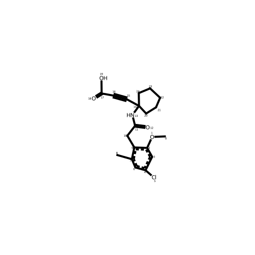 COc1cc(Cl)cc(C)c1CC(=O)NC1(C#CC(=O)O)CCCCC1